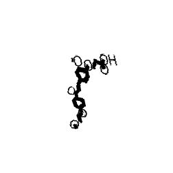 COCCOc1ccc(C(=O)C=Cc2ccc(OCCC(=O)O)c(OC)c2)cc1